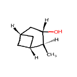 C[C@H]1[C@H]2C[C@@H](C[C@@H]1O)C2